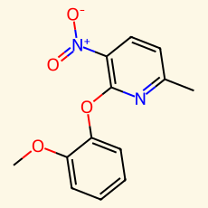 COc1ccccc1Oc1nc(C)ccc1[N+](=O)[O-]